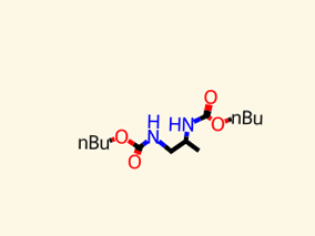 CCCCOC(=O)NCC(C)NC(=O)OCCCC